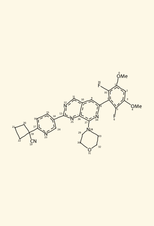 COc1cc(OC)c(F)c(-c2cc3cnc(-c4ccc(C5(C#N)CCC5)nc4)nc3c(N3CCOCC3)n2)c1F